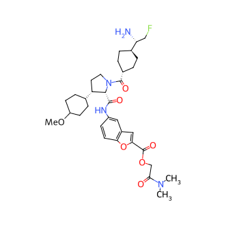 COC1CCC([C@@H]2CCN(C(=O)[C@H]3CC[C@H]([C@H](N)CF)CC3)[C@@H]2C(=O)Nc2ccc3oc(C(=O)OCC(=O)N(C)C)cc3c2)CC1